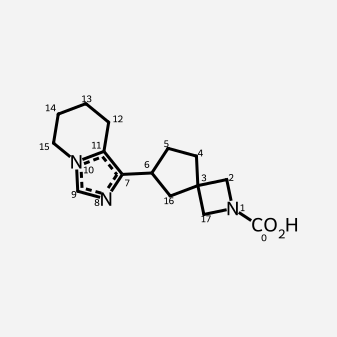 O=C(O)N1CC2(CCC(c3ncn4c3CCCC4)C2)C1